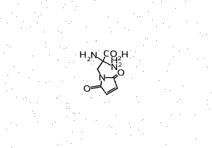 NC(N)(CN1C(=O)C=CC1=O)C(=O)O